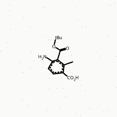 Cc1c(C(=O)O)ccc(N)c1C(=O)OC(C)(C)C